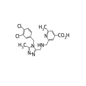 Cc1cc(C(=O)O)cc(CNCc2nnc(C)n2Cc2ccc(Cl)c(Cl)c2)n1